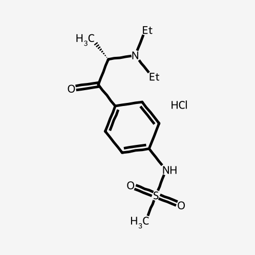 CCN(CC)[C@@H](C)C(=O)c1ccc(NS(C)(=O)=O)cc1.Cl